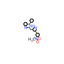 Cn1c(=O)oc2ccc(-c3cncc(CC(C#N)NC(c4ccccc4)c4ccccc4)c3)cc21